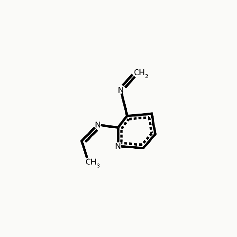 C=Nc1cccnc1/N=C\C